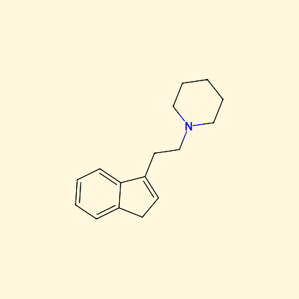 C1=C(CCN2CCCCC2)c2ccccc2C1